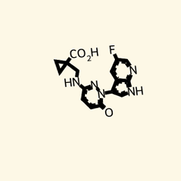 O=C(O)C1(CNc2ccc(=O)n(-c3c[nH]c4ncc(F)cc34)n2)CC1